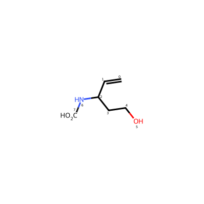 C=CC(CCO)NC(=O)O